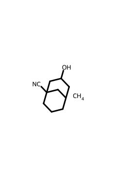 C.N#CC12CCCC(CC(O)C1)C2